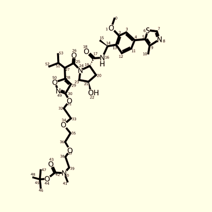 COc1cc(-c2scnc2C)ccc1[C@H](C)NC(=O)[C@@H]1C[C@@H](O)CN1C(=O)C(c1cc(OCCOCCOCCN(C)C(=O)OC(C)(C)C)no1)C(C)C